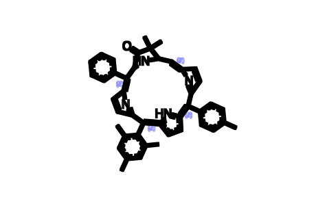 Cc1ccc(/C2=c3\cc/c([nH]3)=C(\c3c(C)cc(C)cc3C)C3=N/C(=C(/c4ccccc4)C4NC(/C=C5/C=CC2=N5)C(C)(C)C4=O)C=C3)cc1